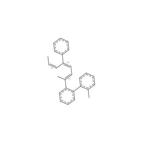 C\C=C/C(=C\C=C(/C)c1ccccc1-c1ccccc1C)c1ccccc1